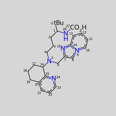 CC(C)(C)C(CCCN(Cc1cn2ccccc2n1)C1CCCc2cccnc21)NC(=O)O